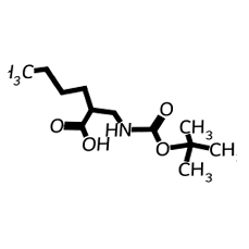 CCCCC(CNC(=O)OC(C)(C)C)C(=O)O